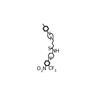 Cc1ccc(N2CCN(CCCC(=S)NC3CCN(c4ccc([N+](=O)[O-])c(C(F)(F)F)c4)CC3)CC2)cc1